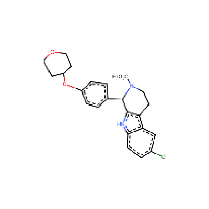 CCOC(=O)N1CCc2c([nH]c3ccc(Cl)cc23)C1c1ccc(OC2CCOCC2)cc1